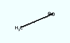 CCCCCCCCCCCCCCCCCCCCCCCCCCCC(=O)C[C]=O